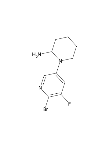 NC1CCCCN1c1cnc(Br)c(F)c1